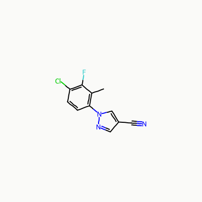 Cc1c(-n2cc(C#N)cn2)ccc(Cl)c1F